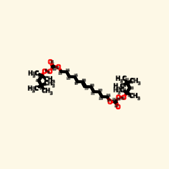 CC(C)(C)CC(C)(C)OOC(=O)OCCCCC/C=C/CCCCCOC(=O)OOC(C)(C)CC(C)(C)C